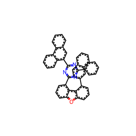 c1ccc(-c2nc(-c3cc4ccccc4c4ccccc34)nc(-c3cccc4oc5cccc(-c6ccc7ccccc7c6)c5c34)n2)cc1